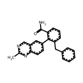 Cc1ncc2cc(-c3c(Cc4ccccc4)cccc3C(N)=O)ccc2n1